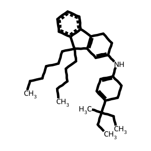 CCCCCCC1(CCCCC)C2=C(CCC(NC3=CC=C(C(C)(CC)CC)CC3)=C2)c2ccccc21